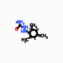 Cc1cc(C)c(NNC(N)=O)c(C)c1